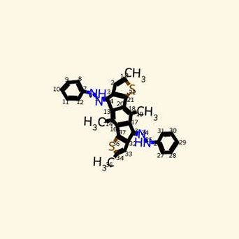 Cc1cc2/c(=N\Nc3ccccc3)c3c(C)c4c(c(C)c3c2s1)/c(=N/Nc1ccccc1)c1cc(C)sc14